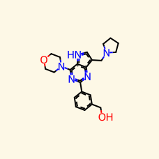 OCc1cccc(-c2nc(N3CCOCC3)c3[nH]cc(CN4CCCC4)c3n2)c1